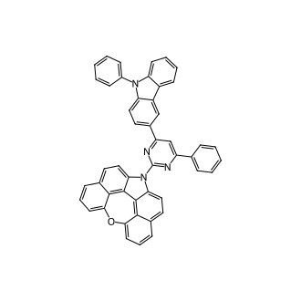 c1ccc(-c2cc(-c3ccc4c(c3)c3ccccc3n4-c3ccccc3)nc(-n3c4ccc5cccc6oc7cccc8ccc3c(c87)c4c56)n2)cc1